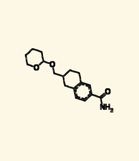 NC(=O)c1ccc2c(c1)CCC(COC1CCCCO1)C2